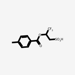 Cc1ccc(C(=O)OC(CS(=O)(=O)O)C(F)(F)F)cc1